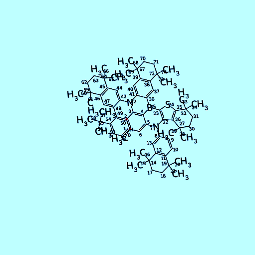 Cc1cc2c3c(c1)N(c1ccc4c(c1)C(C)(C)CCC4(C)C)c1c(sc4c1C(C)(C)CCC4(C)C)B3c1cc3c(cc1N2c1cc2c(cc1-c1ccccc1C(C)(C)C)C(C)(C)CCC2(C)C)C(C)(C)CCC3(C)C